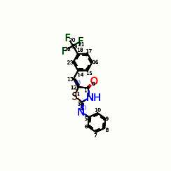 O=C1N/C(=N\c2ccccc2)S/C1=C/c1cccc(C(F)(F)F)c1